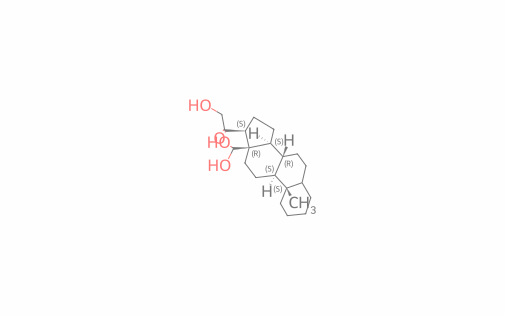 C[C@]12CCCCC1CC[C@H]1[C@@H]3CC[C@H](C(=O)CO)[C@@]3(C(O)O)CC[C@@H]12